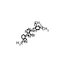 COc1ccc(CNc2ncnc3c2c(Br)nn3[C@@H]2CCCc3c2cnn3C)c(OC)c1